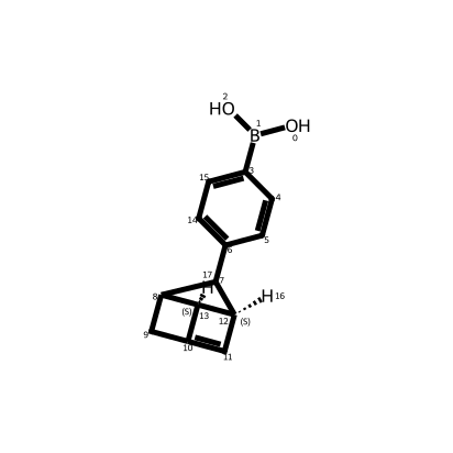 OB(O)c1ccc(C2C3CC4=C[C@H]2[C@@H]43)cc1